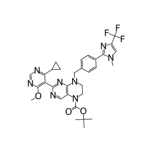 COc1ncnc(C2CC2)c1-c1ncc2c(n1)N(Cc1ccc(-c3nc(C(F)(F)F)cn3C)cc1)CCN2C(=O)OC(C)(C)C